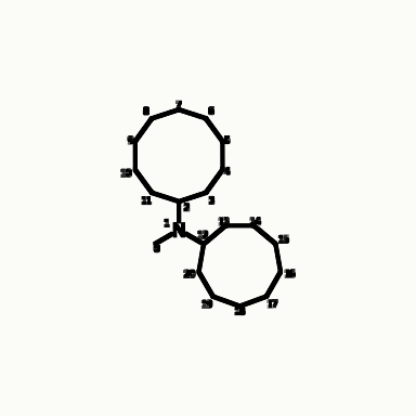 CN(C1CCCCCCCCC1)C1CCCCCCCC1